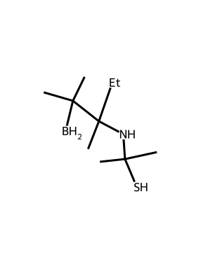 BC(C)(C)C(C)(CC)NC(C)(C)S